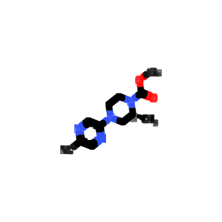 C[C@@H]1CN(c2cnc(C#N)cn2)CCN1C(=O)OC(C)(C)C